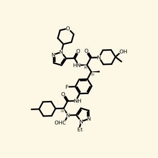 CCn1nccc1N(C=O)[C@H](C(=O)Nc1ccc([C@H](C)[C@@H](NC(=O)c2ccnn2C2CCOCC2)C(=O)N2CCC(C)(O)CC2)cc1F)C1CCC(C)CC1